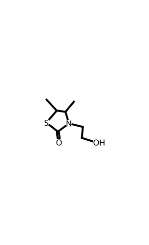 CC1SC(=O)N(CCO)C1C